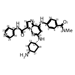 CNC(=O)c1ccc(Nc2cc(N[C@H]3CC[C@H](N)CC3)nn3c(C(=O)Nc4ccncc4)cnc23)cc1